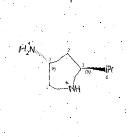 CC(C)[C@@H]1C[C@@H](N)CN1